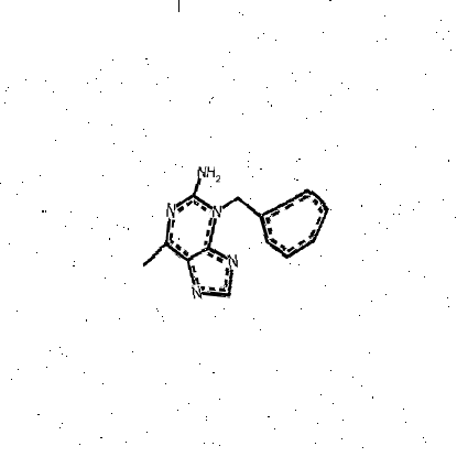 Cc1nc(N)n(Cc2ccccc2)c2ncnc1-2